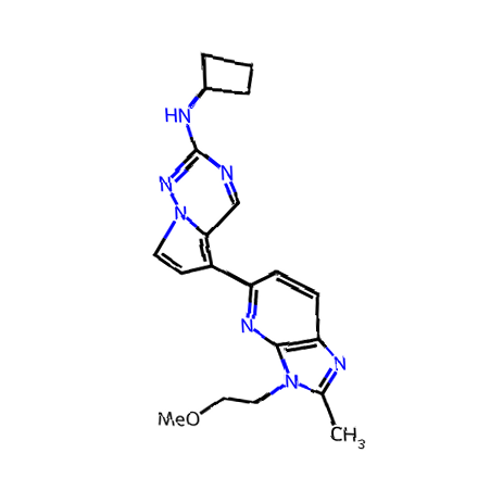 COCCn1c(C)nc2ccc(-c3ccn4nc(NC5CCC5)ncc34)nc21